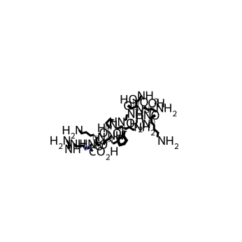 N=C(N)NCC/C=C(\NC(=O)[C@H](CCCCN)NC(=O)[C@H](Cc1cccc(F)c1)NC(=O)[C@@H]1CCCN1C(=O)[C@@H](CCCN)NC(=O)CNC(=O)[C@@H](NC(=O)[C@@H](NC(=O)[C@@H](N)CCCCN)[C@@H](O)CN)[C@@H](O)CN)C(=O)O